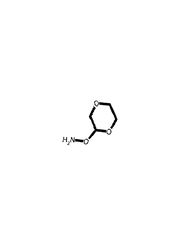 NOC1COCCO1